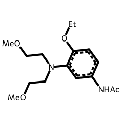 CCOc1ccc(NC(C)=O)cc1N(CCOC)CCOC